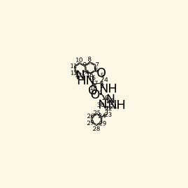 O=C(N[C@H]1COc2ccc3cccnc3c2NC1=O)c1n[nH]c(Cc2ccccc2)n1